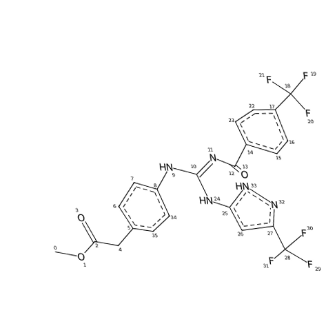 COC(=O)Cc1ccc(N/C(=N/C(=O)c2ccc(C(F)(F)F)cc2)Nc2cc(C(F)(F)F)n[nH]2)cc1